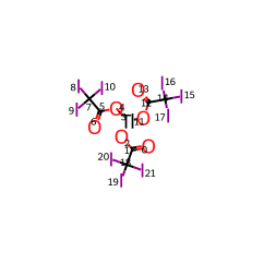 O=C([O][Tl]([O]C(=O)C(I)(I)I)[O]C(=O)C(I)(I)I)C(I)(I)I